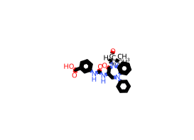 CC(C)(C)[N@@+]1(C=C=O)C(=O)C(NC(=O)Nc2cccc(C(=O)O)c2)CN(C2CCCCC2)c2ccccc21